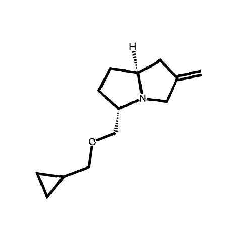 C=C1C[C@@H]2CC[C@@H](COCC3CC3)N2C1